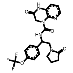 O=C1CN(C(=O)NC(CN2CCCC2=O)c2ccc(OC(F)(F)F)cc2)c2ncccc2N1